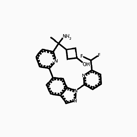 CC(N)(c1cccc(-c2ccc3cnn(-c4cccc(C(F)F)n4)c3c2)n1)C1CC(O)C1